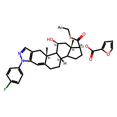 CC(=O)CSC(=O)[C@@]1(OC(=O)c2ccco2)CCC2[C@@H]3CCC4=Cc5c(cnn5-c5ccc(F)cc5)C[C@]4(C)C3[C@@H](O)C[C@@]21C